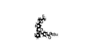 CC(C)(C)OC(=O)N1CCC(n2c(=O)n(Cc3ccc(-c4nnc(C(F)F)o4)cn3)c3ncccc32)CC1